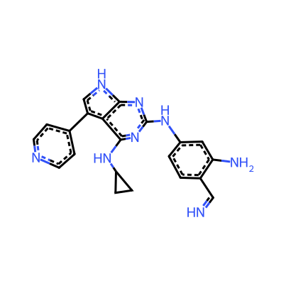 N=Cc1ccc(Nc2nc(NC3CC3)c3c(-c4ccncc4)c[nH]c3n2)cc1N